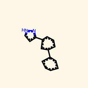 c1ccc(-c2cccc(-c3cc[nH]n3)c2)cc1